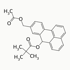 CC(=O)OCc1ccc2c(c1)C(OC(=O)C(C)(C)C)c1cccc3cccc-2c13